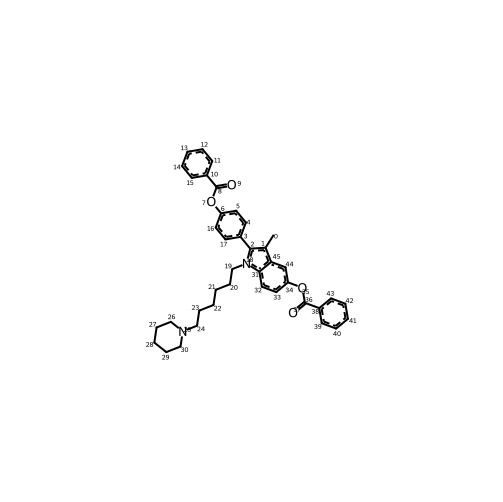 Cc1c(-c2ccc(OC(=O)c3ccccc3)cc2)n(CCCCCCN2CCCCC2)c2ccc(OC(=O)c3ccccc3)cc12